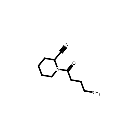 CCCCC(=O)N1CCCCC1C#N